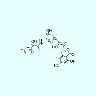 C=C(C)C[C@H](OC)[C@H](O)C(=O)NC[C@@H]1C[C@@H](O)C(C)(C)[C@@H](C[C@H](O)[C@@H](C)[C@H]2Cc3c(C)c(O)cc(O)c3C(=O)O2)O1